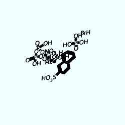 Br.CS(=O)(=O)O.N#CS.O=P(O)(O)O.O=P(O)(O)OP(=O)(O)O.O=S(=O)(O)O.O=S(=O)(O)c1ccc2ccccc2c1.O=[N+]([O-])O